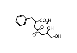 O=C(O)[C@H](Cc1ccccc1)CS(=O)(=O)C[C@@H](O)CO